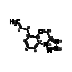 C=CCc1cccc2c1OCc1nnnn1-2